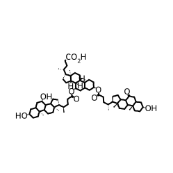 C[C@H](CCC(=O)O)[C@H]1CC[C@H]2[C@@H]3[C@H](OC(=O)CC[C@@H](C)[C@H]4CCC5C6C(CC[C@@]54C)[C@@]4(C)CC[C@H](O)CC4C[C@@H]6O)CC4C[C@H](OC(=O)CC[C@@H](C)[C@H]5CCC6C7C(=O)CC8C[C@H](O)CC[C@]8(C)C7CC[C@@]65C)CC[C@]4(C)[C@H]3CC[C@]12C